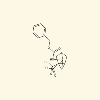 O=C(NC1(C(=O)O)C2CC3C1C3(C(=O)O)C2)OCc1ccccc1